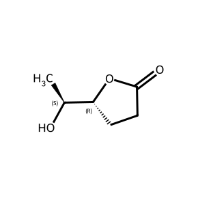 C[C@H](O)[C@H]1CCC(=O)O1